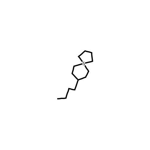 CCCCC1CCS2(CCCC2)CC1